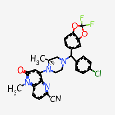 C[C@H]1CN(C(c2ccc(Cl)cc2)c2ccc3c(c2)OC(F)(F)O3)CCN1c1cc(=O)n(C)c2ccc(C#N)nc12